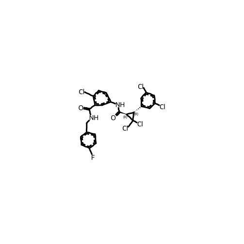 O=C(NCc1ccc(F)cc1)c1cc(NC(=O)[C@H]2[C@H](c3cc(Cl)cc(Cl)c3)C2(Cl)Cl)ccc1Cl